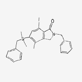 Cc1cc([Si](C)(C)Cc2ccccc2)c(C)c2c1C(=O)N(Cc1ccccc1)C2